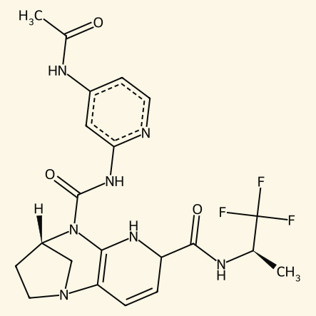 CC(=O)Nc1ccnc(NC(=O)N2C3=C(C=CC(C(=O)N[C@H](C)C(F)(F)F)N3)N3CC[C@H]2C3)c1